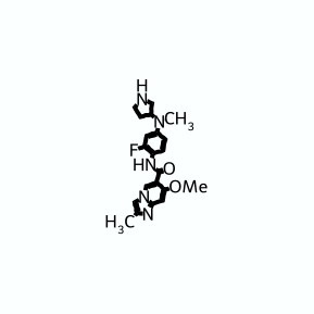 COc1cc2nc(C)cn2cc1C(=O)Nc1ccc(N(C)C2CCNC2)cc1F